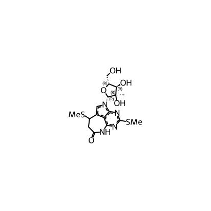 CSc1nc2c3c(cn([C@@H]4O[C@H](CO)[C@@H](O)[C@@]4(C)O)c3n1)C(SC)CC(=O)N2